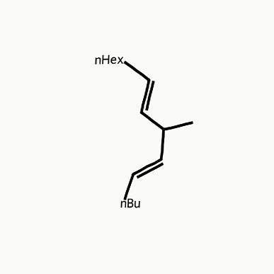 CCCCC=CC(C)C=CCCCCCC